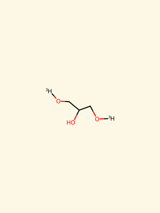 [3H]OCC(O)CO[3H]